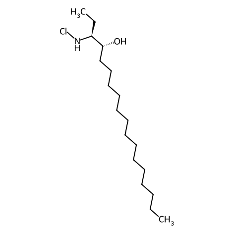 CCCCCCCCCCCCCC[C@@H](O)[C@H](CC)NCl